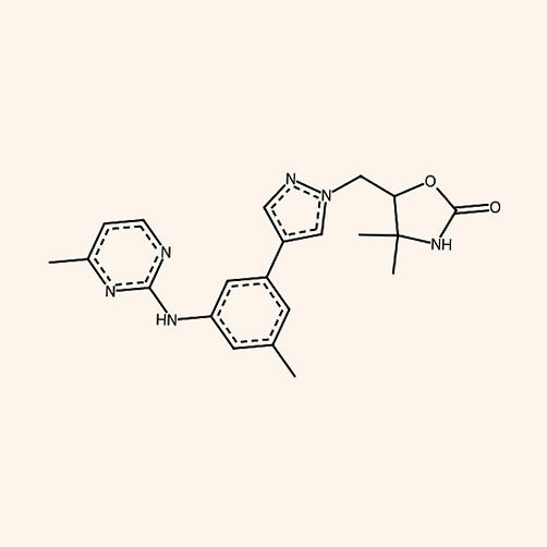 Cc1cc(Nc2nccc(C)n2)cc(-c2cnn(CC3OC(=O)NC3(C)C)c2)c1